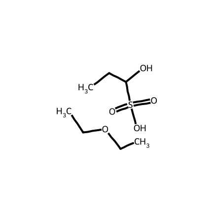 CCC(O)S(=O)(=O)O.CCOCC